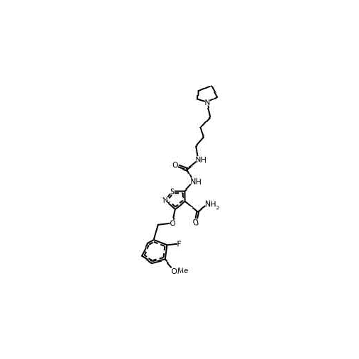 COc1cccc(COc2nsc(NC(=O)NCCCCN3CCCC3)c2C(N)=O)c1F